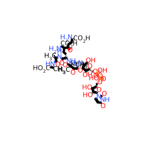 CC(=O)N[C@@](C)(C(=O)N[C@@H](CCC(C(=O)CC[C@H](N)C(=O)O)C(N)C(=O)O)C(=O)N[C@H](C)C(=O)N[C@H](C)C(=O)O)C(=O)C(C)O[C@@H]1[C@@H](N)[C@@H](O)O[C@H](COP(=O)(O)OP(=O)(O)OC[C@H]2OC(n3ccc(=O)[nH]c3=O)[C@H](O)[C@@H]2O)[C@H]1O